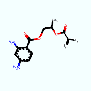 C=C(C)C(=O)OC(C)COC(=O)c1ccc(N)cc1N